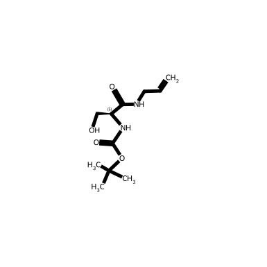 C=CCNC(=O)[C@H](CO)NC(=O)OC(C)(C)C